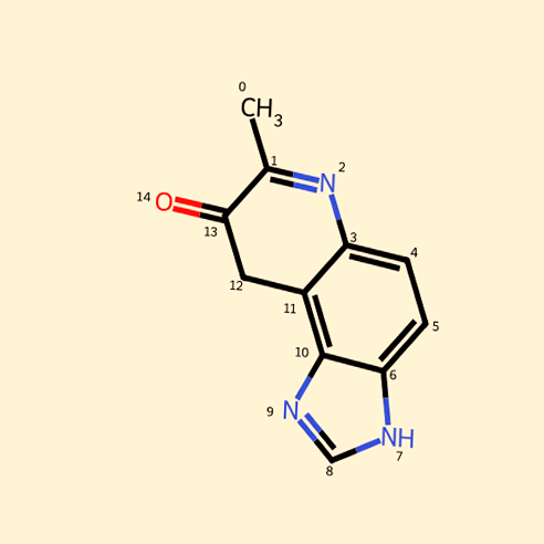 CC1=Nc2ccc3[nH]cnc3c2CC1=O